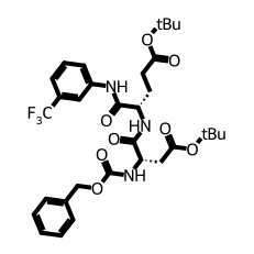 CC(C)(C)OC(=O)CC[C@H](NC(=O)[C@H](CC(=O)OC(C)(C)C)NC(=O)OCc1ccccc1)C(=O)Nc1cccc(C(F)(F)F)c1